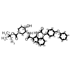 CC(C)(C)OC(=O)N1CC[C@@H](O)[C@H](NC(=O)c2sc3nccc4c3c2NC(=O)N4c2ccc(Oc3ccccc3)cc2)C1